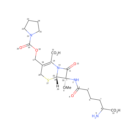 CO[C@@]1(NC(=O)CCCC(N)C(=O)O)C(=O)N2C(C(=O)O)=C(COC(=O)N3CCCC3)CS[C@H]21